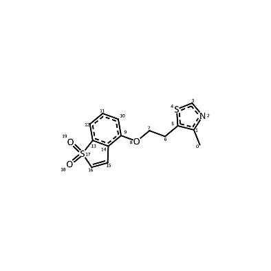 Cc1ncsc1CCOc1cccc2c1C=CS2(=O)=O